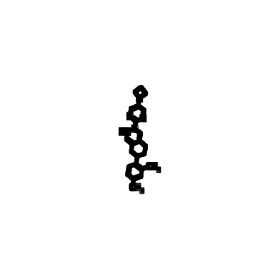 Cc1ccc(C2CCC3=CN(c4ncc(N5CCC5)cn4)NC=C3C2)c(C)c1